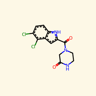 O=C1CN(C(=O)c2cc3c(Cl)c(Cl)ccc3[nH]2)CCN1